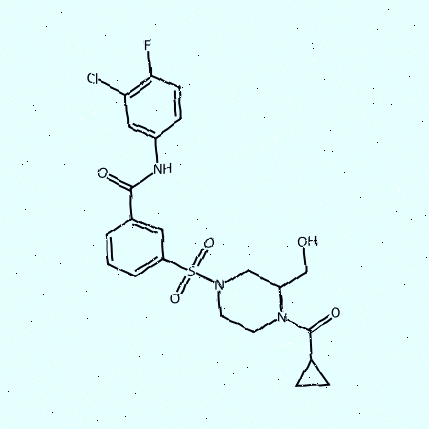 O=C(Nc1ccc(F)c(Cl)c1)c1cccc(S(=O)(=O)N2CCN(C(=O)C3CC3)C(CO)C2)c1